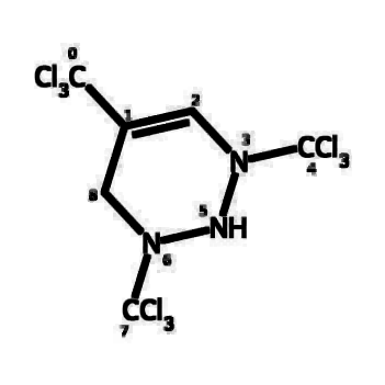 ClC(Cl)(Cl)C1=CN(C(Cl)(Cl)Cl)NN(C(Cl)(Cl)Cl)C1